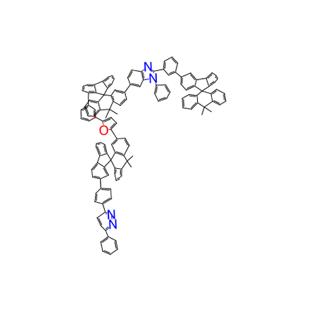 CC1(C)c2ccccc2C2(c3ccccc3-c3cc(-c4cccc(-c5nc6ccc(-c7ccc8c(c7)C7(c9ccccc9-c9cccc(-c%10cccc(-c%11ccc(-c%12ccc%13c(c%12)C%12(c%14ccccc%14-c%14ccc(-c%15ccc(-c%16ccc(-c%17ccccc%17)nn%16)cc%15)cc%14%12)c%12ccccc%12C%13(C)C)o%11)c%10)c97)c7ccccc7C8(C)C)cc6n5-c5ccccc5)c4)ccc32)c2ccccc21